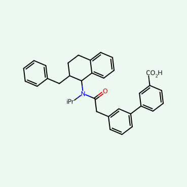 CC(C)N(C(=O)Cc1cccc(-c2cccc(C(=O)O)c2)c1)C1c2ccccc2CCC1Cc1ccccc1